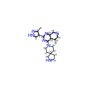 Cc1n[nH]cc1-c1nc(N2CCC3(CCNC3)CC2)c2c(F)cncc2n1